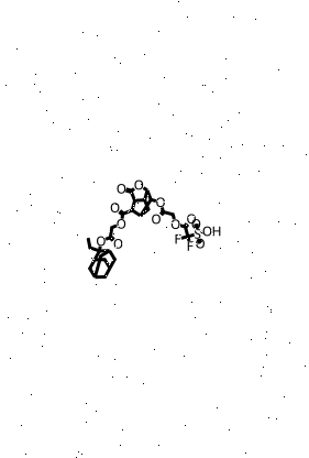 CCC1(OC(=O)COC(=O)C2C3CC4C(OC(=O)C42)C3OC(=O)COC(=O)C(F)(F)S(=O)(=O)O)C2CC3CC(C2)CC1C3